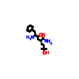 CC(C)(O)CC[C@H](C[C@H](O)[C@@H](N)Cc1ccccc1)C(N)=O